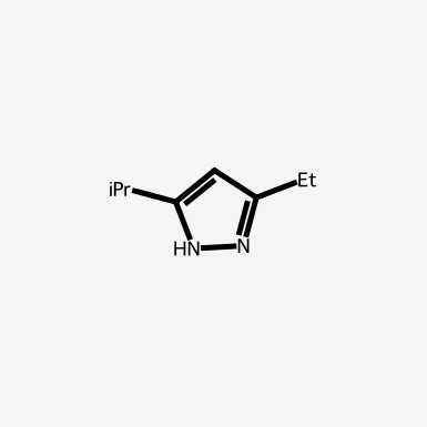 CCc1cc(C(C)C)[nH]n1